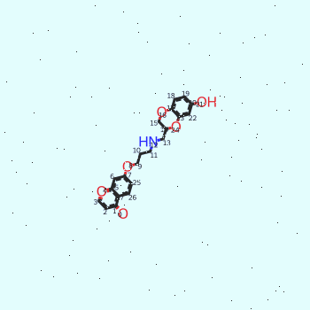 O=c1ccoc2cc(OCCCNCC3COc4ccc(O)cc4O3)ccc12